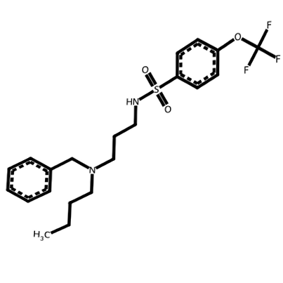 CCCCN(CCCNS(=O)(=O)c1ccc(OC(F)(F)F)cc1)Cc1ccccc1